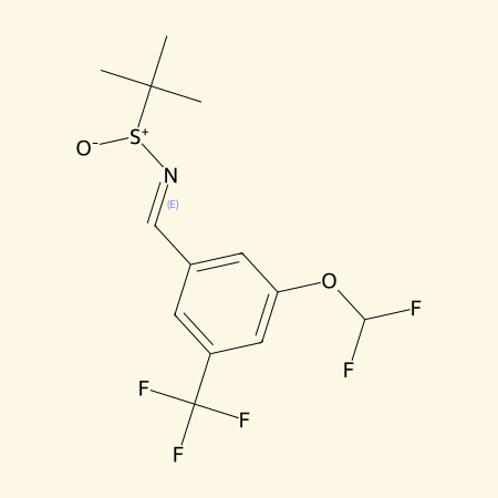 CC(C)(C)[S+]([O-])/N=C/c1cc(OC(F)F)cc(C(F)(F)F)c1